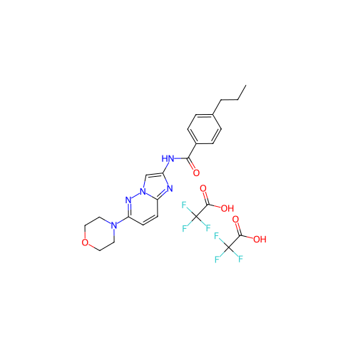 CCCc1ccc(C(=O)Nc2cn3nc(N4CCOCC4)ccc3n2)cc1.O=C(O)C(F)(F)F.O=C(O)C(F)(F)F